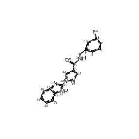 O=C(NCc1cccc(F)c1)c1cnn(-c2nc3ccccc3[nH]2)c1